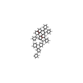 c1ccc(-c2ccc(-c3ccc(N(c4ccc(-c5ccccc5)c(-c5ccccc5)c4)c4ccccc4-c4ccc5c(c4)c(-c4ccccc4)c(-c4ccccc4)c4ccccc45)cc3)c(-c3ccccc3)c2)cc1